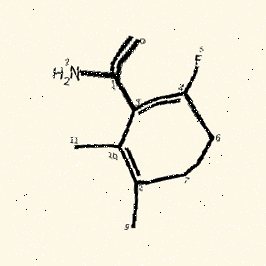 C=C(N)C1=C(F)CCC(C)=C1C